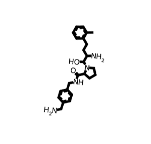 Cc1ccccc1CCC(N)C(O)N1CCCC1C(=O)NCc1ccc(CN)cc1